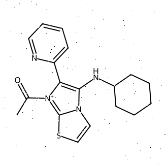 CC(=O)[n+]1c(-c2ccccn2)c(NC2CCCCC2)n2ccsc21